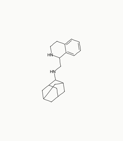 c1ccc2c(c1)CCNC2CNC1C2CC3CC(C2)CC1C3